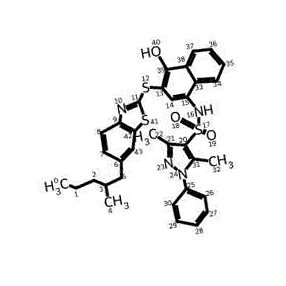 CCCC(C)Cc1ccc2nc(Sc3cc(NS(=O)(=O)c4c(C)nn(-c5ccccc5)c4C)c4ccccc4c3O)sc2c1